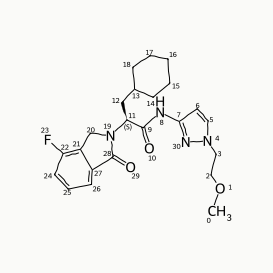 COCCn1ccc(NC(=O)[C@H](CC2CCCCC2)N2Cc3c(F)cccc3C2=O)n1